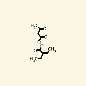 CC=C(CC)C(=O)OOC(=O)CC(C)=O